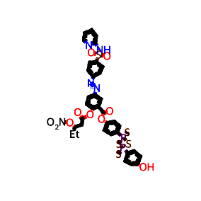 CCC(CC(=O)Oc1ccc(/N=N/c2ccc(S(=O)(=O)Nc3ccccn3)cc2)cc1C(=O)Oc1ccc(P2(=S)SP(=S)(c3ccc(O)cc3)S2)cc1)O[N+](=O)[O-]